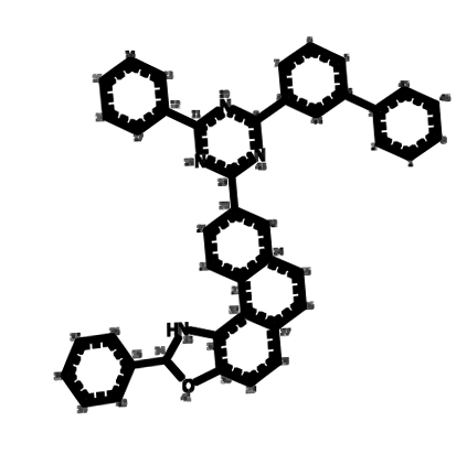 c1ccc(-c2cccc(-c3nc(-c4ccccc4)nc(-c4ccc5c(ccc6ccc7c(c65)NC(c5ccccc5)O7)c4)n3)c2)cc1